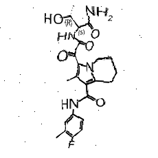 Cc1cc(NC(=O)c2c(C)c(C(=O)C(=O)N[C@H](C(N)=O)[C@@H](C)O)n3c2CCCC3)ccc1F